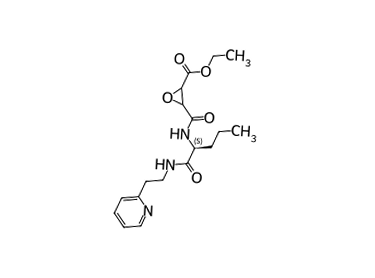 CCC[C@H](NC(=O)C1OC1C(=O)OCC)C(=O)NCCc1ccccn1